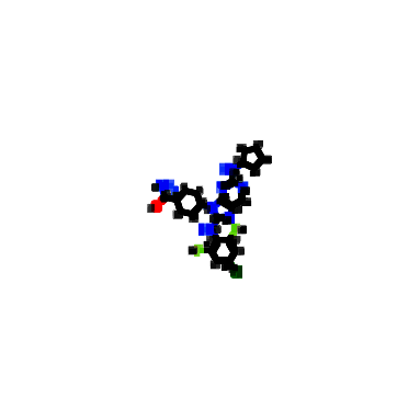 NC(=O)C1CCC(n2c(Nc3c(F)cc(Cl)cc3F)nc3cnc(NC4CCCC4)nc32)CC1